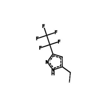 CCc1cc(C(F)(F)C(F)(F)F)n[nH]1